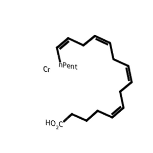 CCCCC/C=C\C/C=C\C/C=C\C/C=C\CCCC(=O)O.[Cr]